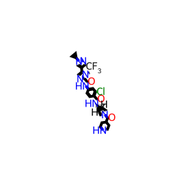 Cn1c(-c2cn(C3CC3)nc2C(F)(F)F)cnc1C(=O)Nc1ccc(C(=O)N[C@H]2[C@@H]3CN(C(=O)C4CCNCC4)C[C@@H]32)c(Cl)c1